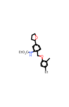 CCOC(=O)Nc1cc(C2CCCO2)ccc1COc1ccc(CC)cc1C